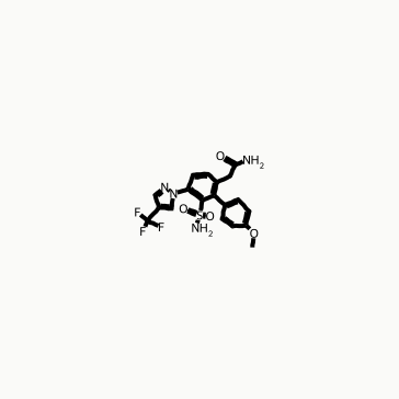 COc1ccc(-c2c(CC(N)=O)ccc(-n3cc(C(F)(F)F)cn3)c2S(N)(=O)=O)cc1